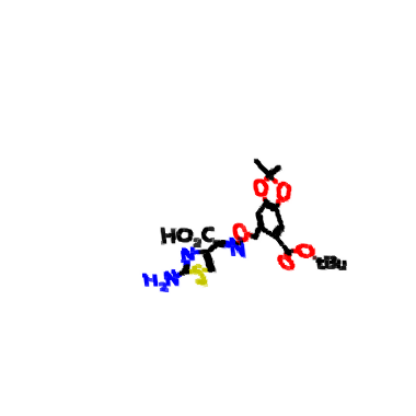 CC(C)(C)OC(=O)c1cc2c(cc1CO/N=C(\C(=O)O)c1csc(N)n1)OC(C)(C)O2